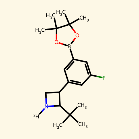 [2H]N1CC(c2cc(F)cc(B3OC(C)(C)C(C)(C)O3)c2)C1C(C)(C)C